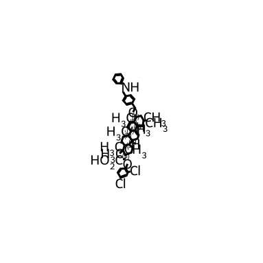 CC1(C)C[C@@H]2C3=CC[C@@H]4[C@@]5(C)CC[C@H](C(Oc6ccc(Cl)cc6Cl)C(=O)O)C(C)(C)C5CC[C@@]4(C)[C@]3(C)CC[C@@]2(C)[C@H](OCc2ccc(CNc3ccccc3)cc2)C1